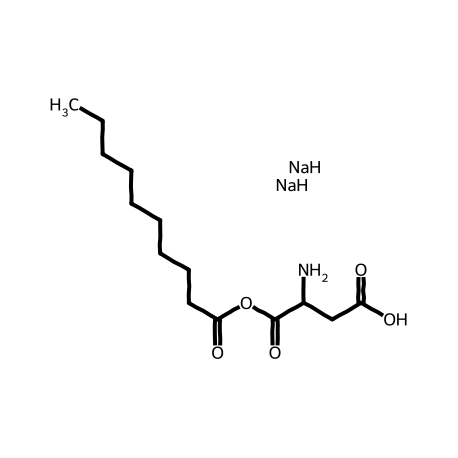 CCCCCCCCCC(=O)OC(=O)C(N)CC(=O)O.[NaH].[NaH]